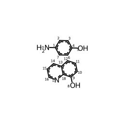 Nc1ccc(O)cc1.Oc1cccc2cccnc12